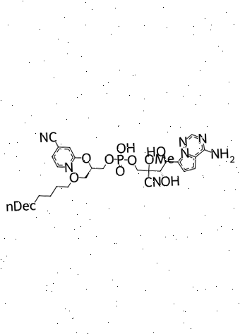 CCCCCCCCCCCCCCOC[C@H](COP(=O)(O)OCC(C#N)(OC)[C@@H](O)[C@@H](O)c1ccc2c(N)ncnn12)Oc1cc(C#N)ccn1